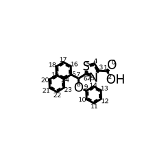 O=C(O)c1csc(C(Oc2ccccc2)c2cccc3ccccc23)n1